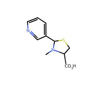 CN1C(C(=O)O)CSC1c1cccnc1